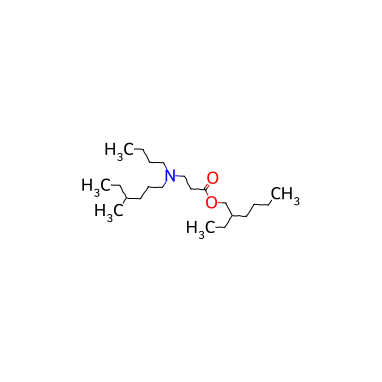 CCCCC(CC)COC(=O)CCN(CCCC)CCCC(C)CC